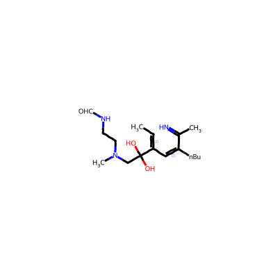 C/C=C(/C=C(/CCCC)C(C)=N)C(O)(O)CN(C)CCNC=O